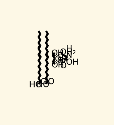 CCCCCC=CCC=CCCCCCCCC(=O)O.CCCCCCCCC=CCCCCCCCC(=O)O.NC(C(=O)O)C(O)P(=O)=O.OCC(O)CO